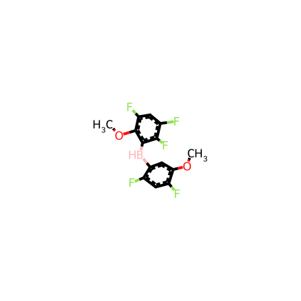 COc1cc(Bc2c(F)c(F)cc(F)c2OC)c(F)cc1F